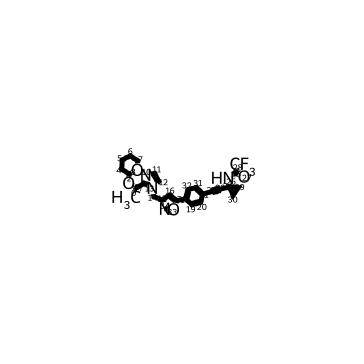 C[C@H](OC1CCCCO1)c1nccn1Cc1cc(-c2ccc(C#CC3(NC(=O)C(F)(F)F)CC3)cc2)on1